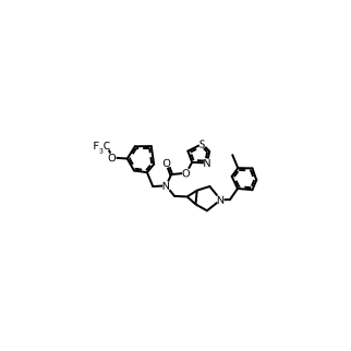 Cc1cccc(CN2CC3C(C2)C3CN(Cc2cccc(OC(F)(F)F)c2)C(=O)Oc2cscn2)c1